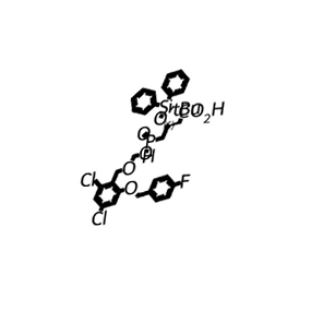 CC(C)(C)[Si](O[C@@H](CC(=O)O)C[PH](=O)OCOCc1c(Cl)cc(Cl)cc1OCc1ccc(F)cc1)(c1ccccc1)c1ccccc1